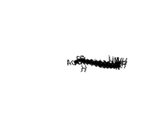 CC(=O)CCC[S+]([O-])NC(=O)CCCCCCCCCCCCCCCC1=NNNN1